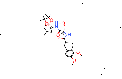 COc1ccc2c(c1OC)CCC(C(=O)N[C@@H](CO)C(=O)N[C@@H](CC(C)C)B1OC(C)(C)C(C)(C)O1)C2